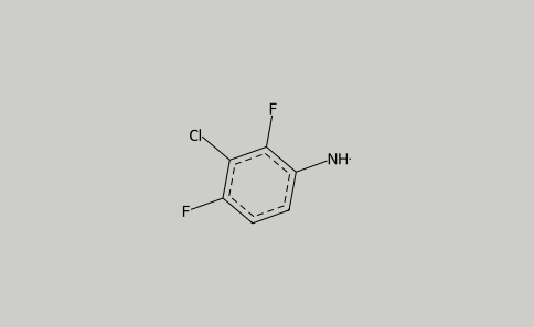 [NH]c1ccc(F)c(Cl)c1F